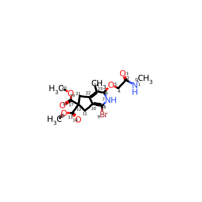 CNC(=O)COC1NC(Br)=C2CC(C(=O)OC)(C(=O)OC)CC2=C1C